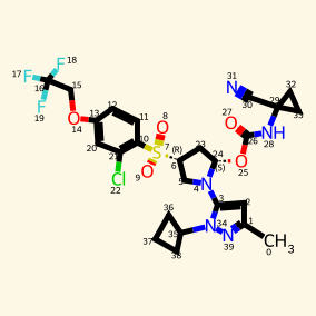 Cc1cc(N2C[C@H](S(=O)(=O)c3ccc(OCC(F)(F)F)cc3Cl)C[C@@H]2OC(=O)NC2(C#N)CC2)n(C2CCC2)n1